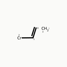 C=[CH][Cr].[CH2]